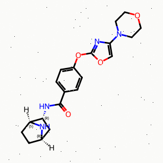 O=C(N[C@@H]1C[C@H]2CC[C@@H]1N2)c1ccc(Oc2nc(N3CCOCC3)co2)cc1